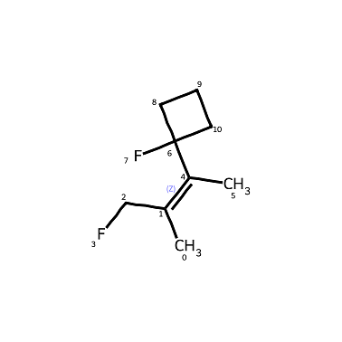 C/C(CF)=C(\C)C1(F)CCC1